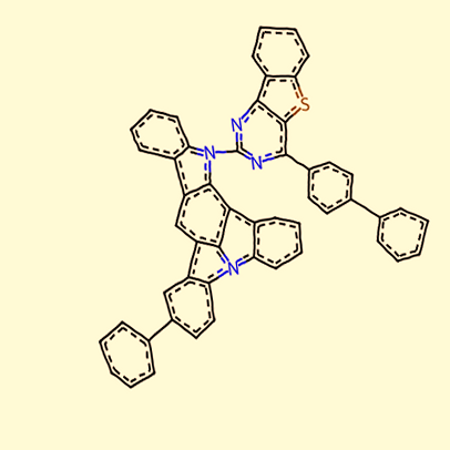 c1ccc(-c2ccc(-c3nc(-n4c5ccccc5c5cc6c7cc(-c8ccccc8)ccc7n7c8ccccc8c(c54)c67)nc4c3sc3ccccc34)cc2)cc1